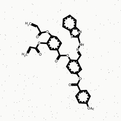 C=CC(=O)Oc1ccc(C(=O)Oc2ccc(OC(=O)c3ccc(OC(C)=O)cc3)cc2/C=N/Nc2nc3ccccc3s2)cc1OC(=O)C=C